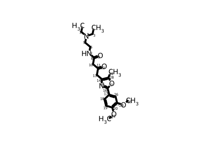 CCN(CC)CCNC(=O)CC(=O)Cc1nc(-c2ccc(OC)c(OC)c2)oc1C